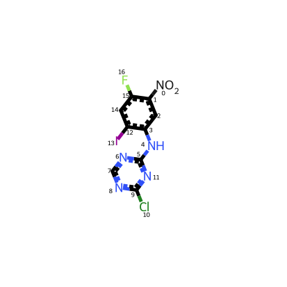 O=[N+]([O-])c1cc(Nc2ncnc(Cl)n2)c(I)cc1F